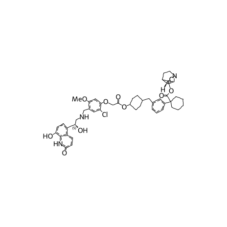 COc1cc(OCC(=O)OC2CCC(Cc3cccc(C4(C(=O)O[C@H]5CN6CCC5CC6)CCCCC4)c3)CC2)c(Cl)cc1CNC[C@@H](O)c1ccc(O)c2[nH]c(=O)ccc12